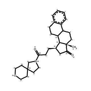 C[C@]12CCC3c4ccccc4CCC3C1[C@H](CCC(=O)N1CCC3(CCOCC3)C1)CC2=O